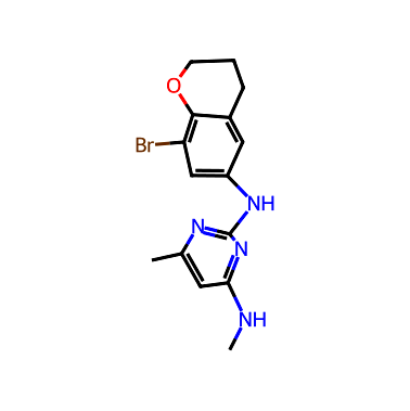 CNc1cc(C)nc(Nc2cc(Br)c3c(c2)CCCO3)n1